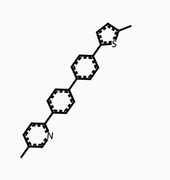 Cc1ccc(-c2ccc(-c3ccc(-c4ccc(C)s4)cc3)cc2)nc1